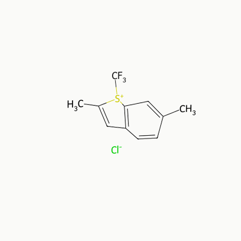 Cc1ccc2cc(C)[s+](C(F)(F)F)c2c1.[Cl-]